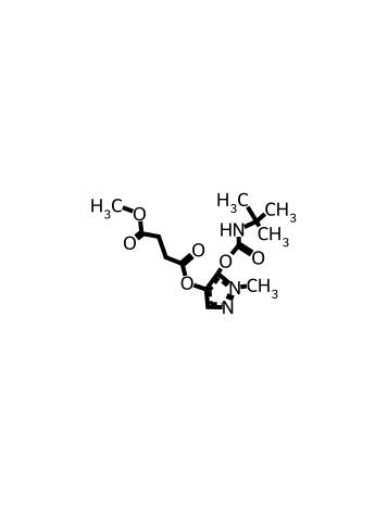 COC(=O)CCC(=O)Oc1cnn(C)c1OC(=O)NC(C)(C)C